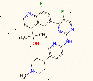 CN1CCC(c2ccc(Nc3ncc(F)c(-c4cc(F)c5nccc(C(C)(C)O)c5c4)n3)nc2)CC1